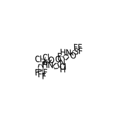 O=C(CSC(F)(F)F)Nc1ccc(NC(=O)c2cc(NC(=O)[C@H]3[C@H](c4ccc(F)c(C(F)(F)F)c4)C3(Cl)Cl)ccc2Cl)c(F)c1